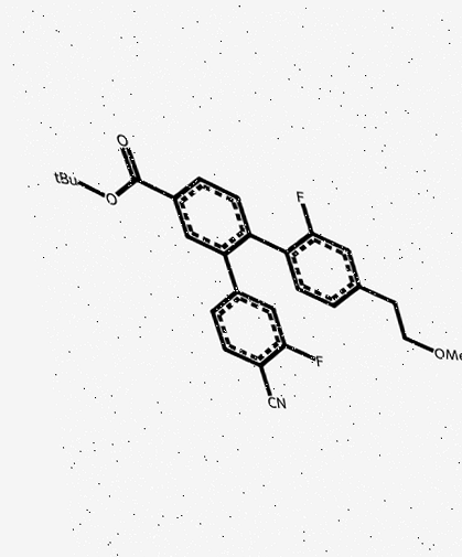 COCCc1ccc(-c2ccc(C(=O)OC(C)(C)C)cc2-c2ccc(C#N)c(F)c2)c(F)c1